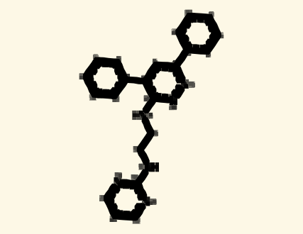 c1ccc(-c2cc(-c3ccccc3)c(NCCNc3ncccn3)nn2)cc1